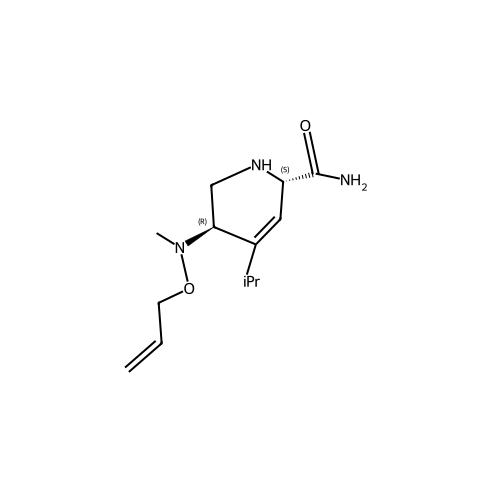 C=CCON(C)[C@H]1CN[C@H](C(N)=O)C=C1C(C)C